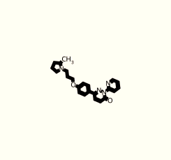 CC1CCCN1CCCOc1ccc(-c2ccc(=O)n(-c3ccccn3)n2)cc1